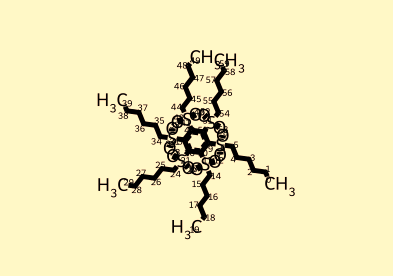 CCCCCCS(=O)(=O)c1c(S(=O)(=O)CCCCCC)c(S(=O)(=O)CCCCCC)c(S(=O)(=O)CCCCCC)c(S(=O)(=O)CCCCCC)c1S(=O)(=O)CCCCCC